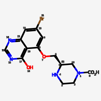 O=C(O)N1CCN[C@@H](COc2cc(Br)cc3ncnc(O)c23)C1